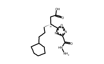 NNC(=O)c1noc([C@H](CCCC2CCCCC2)CC(=O)O)n1